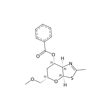 COC[C@@H]1C[C@H](OC(=O)c2ccccc2)[C@H]2N=C(C)S[C@H]2O1